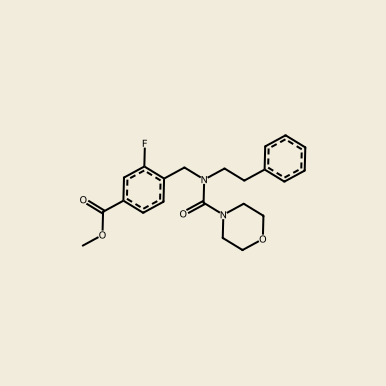 COC(=O)c1ccc(CN(CCc2ccccc2)C(=O)N2CCOCC2)c(F)c1